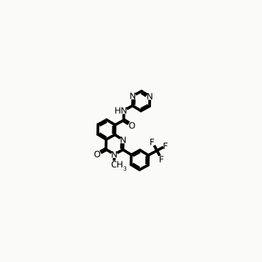 Cn1c(-c2cccc(C(F)(F)F)c2)nc2c(C(=O)Nc3ccncn3)cccc2c1=O